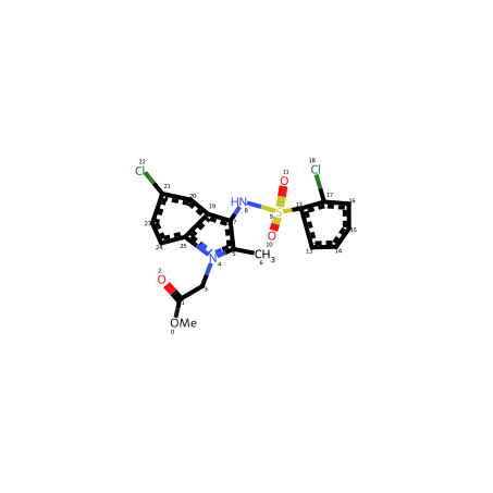 COC(=O)Cn1c(C)c(NS(=O)(=O)c2ccccc2Cl)c2cc(Cl)ccc21